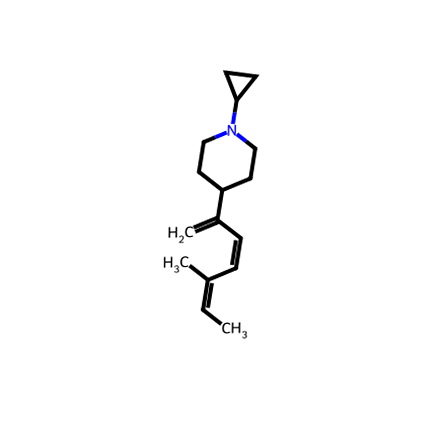 C=C(/C=C\C(C)=C/C)C1CCN(C2CC2)CC1